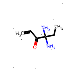 C=CC(=O)C(N)(N)CC